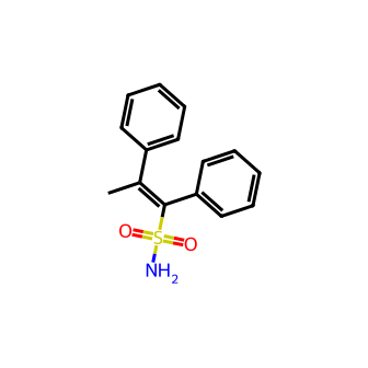 CC(=C(c1ccccc1)S(N)(=O)=O)c1ccccc1